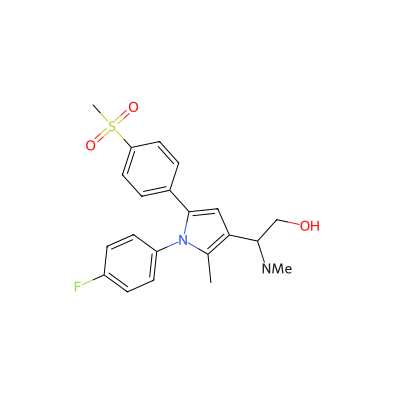 CNC(CO)c1cc(-c2ccc(S(C)(=O)=O)cc2)n(-c2ccc(F)cc2)c1C